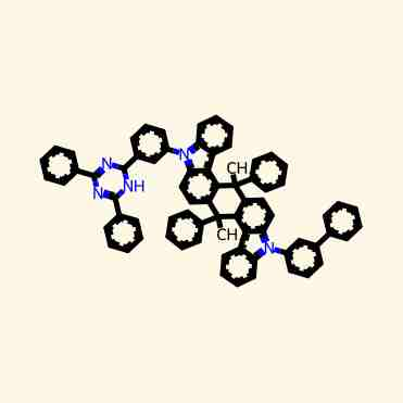 CC1(c2ccccc2)c2ccc3c(c2C(C)(c2ccccc2)c2ccc4c(c21)c1ccccc1n4-c1cccc(-c2ccccc2)c1)c1ccccc1n3-c1cccc(C2N=C(c3ccccc3)N=C(c3ccccc3)N2)c1